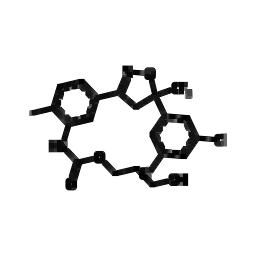 Cc1ccc(C2=NOC(c3cc(Cl)cc(Cl)c3)(C(F)(F)F)C2)cc1NC(=O)OCCCO